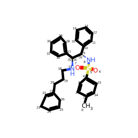 Cc1ccc(S(=O)(=O)N[C@@H](c2ccccc2)[C@@H](NCCCC2=CCC=CC2)c2ccccc2)cc1